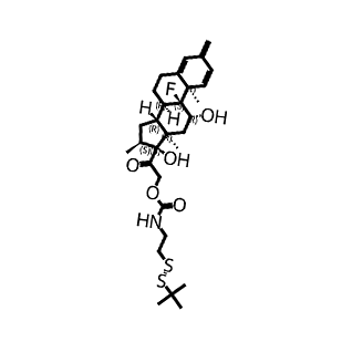 C=C1C=C[C@]2(C)C(=C1)CC[C@@H]1[C@H]3C[C@H](C)[C@@](O)(C(=O)COC(=O)NCCSSC(C)(C)C)[C@]3(C)C[C@@H](O)[C@]12F